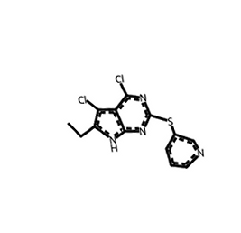 CCc1[nH]c2nc(Sc3cccnc3)nc(Cl)c2c1Cl